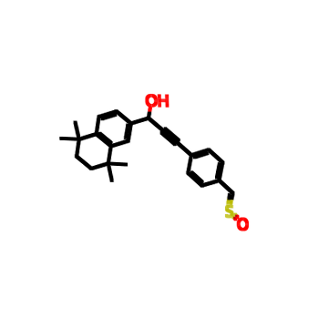 CC1(C)CCC(C)(C)c2cc(C(O)C#Cc3ccc(C=S=O)cc3)ccc21